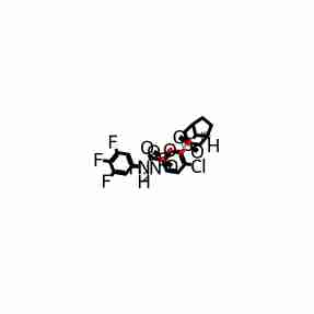 NS(=O)(=O)OC[C@@H]1CC2CC[C@@H](C1)C2S(=O)(=O)c1cc(C(=O)Nc2cc(F)c(F)c(F)c2)ccc1Cl